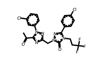 CC(=O)c1nc(Cn2nc(-c3ccc(Cl)cc3)n(CCC(F)(F)F)c2=O)nn1-c1cccc(Cl)c1